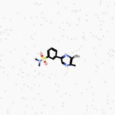 Cc1ncc(-c2cccc(S(=O)(=O)N(C)C)c2)nc1C(C)(C)C